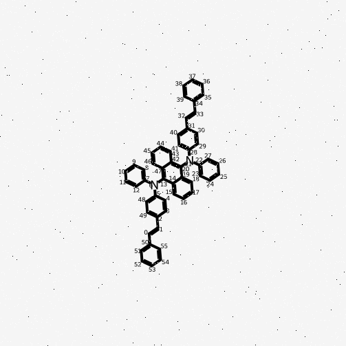 C(=Cc1ccc(N(c2ccccc2)c2c3ccccc3c(N(c3ccccc3)c3ccc(C=Cc4ccccc4)cc3)c3ccccc23)cc1)c1ccccc1